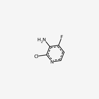 Nc1c(F)ccnc1Cl